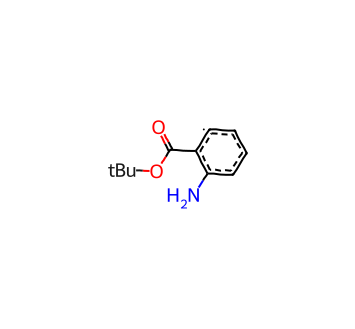 CC(C)(C)OC(=O)c1[c]cccc1N